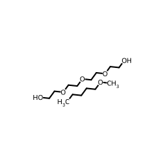 CCCCCOC.OCCOCCOCCOCCO